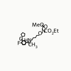 CCOC(=O)N(COCCCCCN[C@H](C)c1ccc(F)c(OC2CCCC2)c1)CC(=O)OC